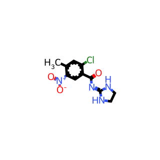 Cc1cc(Cl)c(C(=O)N=C2NCCN2)cc1[N+](=O)[O-]